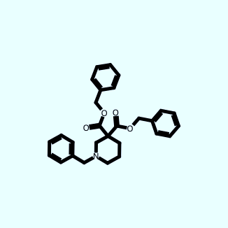 O=C(OCc1ccccc1)C1(C(=O)OCc2ccccc2)CCCN(Cc2ccccc2)C1